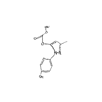 Cc1cc(OC(=O)OC(C)(C)C)n(-c2ccc(O)cc2)n1